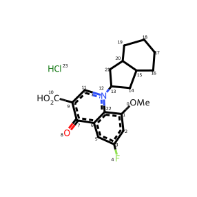 COc1cc(F)cc2c(=O)c(C(=O)O)cn(C3CC4CCCCC4C3)c12.Cl